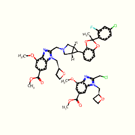 COC(=O)c1cc(OC)c2nc(CCl)n(C[C@@H]3CCO3)c2c1.COC(=O)c1cc(OC)c2nc(CN3C[C@@H]4C(c5cccc6c5OC(C)(c5ccc(Cl)cc5F)O6)[C@@H]4C3)n(C[C@@H]3CCO3)c2c1